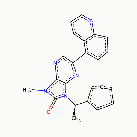 C[C@H](c1ccccc1)n1c(=O)n(C)c2ncc(-c3cccc4ncccc34)nc21